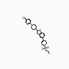 CCCS(=O)(=O)N1CC=C(c2ccc3c(c2)CC(C2CCN(c4ccc(Cl)cn4)CC2)O3)CC1